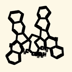 CC(CC1(CC2(CC(C)C(=O)O)c3cc4ccccc4cc3-c3nc4ccccc4cc32)c2cc3ccccc3cc2-c2nc3ccccc3cc21)C(=O)O